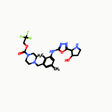 Cc1cc(CN2CCN(C(=O)OCC(F)(F)F)CC2)c(C)c(Nc2nnc(C3NCCC3O)o2)c1